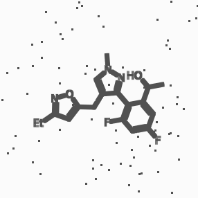 CCc1cc(Cc2cn(C)nc2-c2c(F)cc(F)cc2C(C)O)on1